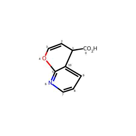 O=C(O)C1C=COc2ncccc21